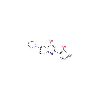 C#C/C=C\C(=C(/C)O)c1cc(O)c2cc(N3CCCC3)ccc2n1